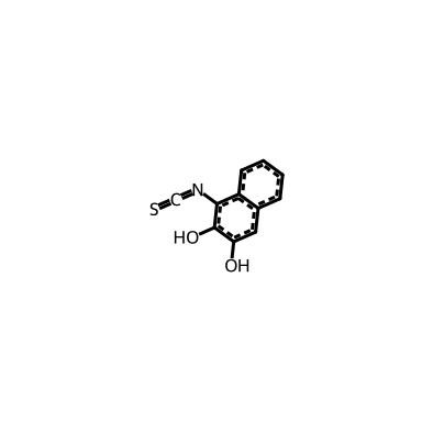 Oc1cc2ccccc2c(N=C=S)c1O